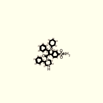 NS(=O)(=O)c1ccc2c(C(=O)N3CCNCC3c3ccccc3)c(-c3ccccc3)n(C3CCCCC3)c2c1